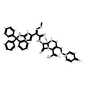 CO/N=C(\C(=O)N[C@@H]1C(=O)N2C(C(=O)O)=C(COn3ccc(=O)cc3)CS[C@H]12)c1csc(NC(c2ccccc2)(c2ccccc2)c2ccccc2)n1